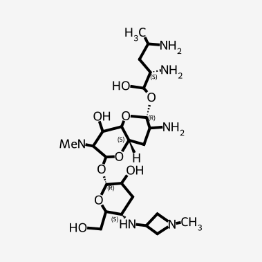 CNC1C(O[C@H]2OC(CO)[C@@H](NC3CN(C)C3)CC2O)O[C@H]2CC(N)[C@@H](OC(O)[C@@H](N)CC(C)N)OC2C1O